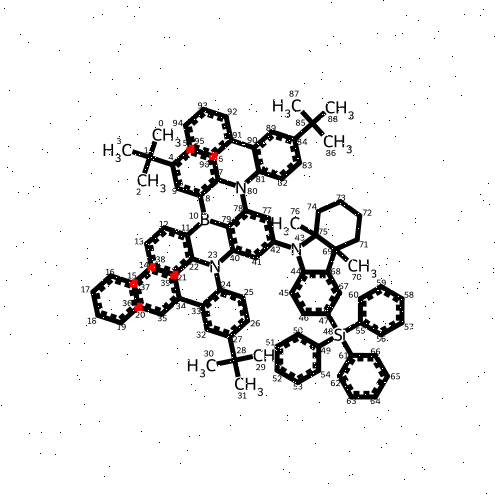 CC(C)(C)c1ccc2c(c1)B1c3ccc(-c4ccccc4)cc3N(c3ccc(C(C)(C)C)cc3-c3ccccc3)c3cc(N4c5ccc([Si](c6ccccc6)(c6ccccc6)c6ccccc6)cc5C5(C)CCCCC45C)cc(c31)N2c1ccc(C(C)(C)C)cc1-c1ccccc1